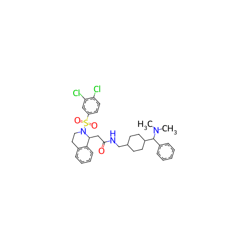 CN(C)C(c1ccccc1)C1CCC(CNC(=O)CC2c3ccccc3CCN2S(=O)(=O)c2ccc(Cl)c(Cl)c2)CC1